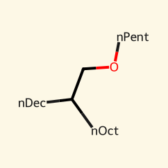 CCCCCCCCCCC(CCCCCCCC)COCCCCC